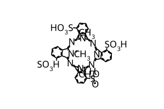 Cn1c2nc3[n+](C)c(nc4c5c(S(=O)(=O)O)cccc5c(nc5nc(nc1c1c([SH](=O)=O)cccc12)-c1cccc(S(=O)(=O)O)c1-5)n4C)-c1cccc(S(=O)(=O)O)c1-3